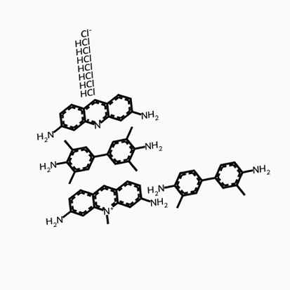 C[n+]1c2cc(N)ccc2cc2ccc(N)cc21.Cc1cc(-c2cc(C)c(N)c(C)c2)cc(C)c1N.Cc1cc(-c2ccc(N)c(C)c2)ccc1N.Cl.Cl.Cl.Cl.Cl.Cl.Cl.Nc1ccc2cc3ccc(N)cc3nc2c1.[Cl-]